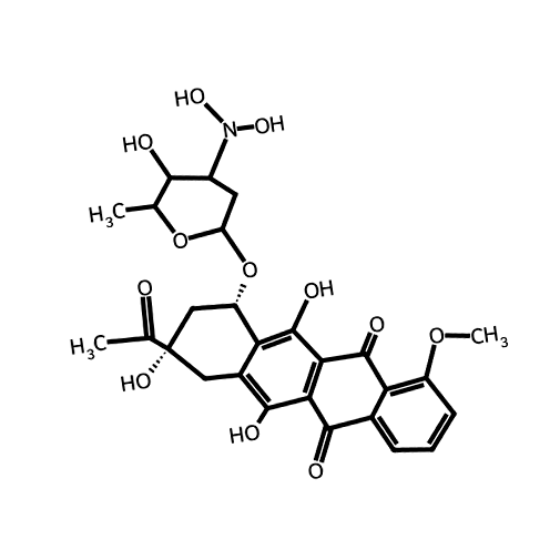 COc1cccc2c1C(=O)c1c(O)c3c(c(O)c1C2=O)C[C@@](O)(C(C)=O)C[C@@H]3OC1CC(N(O)O)C(O)C(C)O1